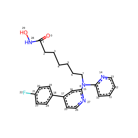 O=C(CCCCCCN(c1ccccn1)c1cc(-c2ccc(F)cc2)ccn1)NO